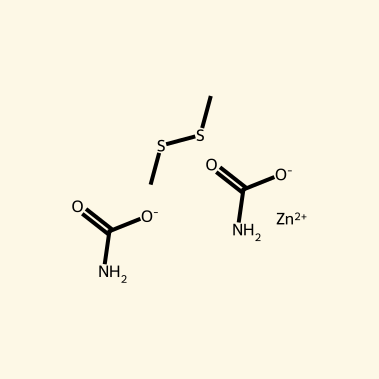 CSSC.NC(=O)[O-].NC(=O)[O-].[Zn+2]